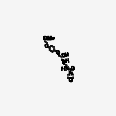 COCCOc1ccc(OCC(O)CNCCNC(=O)N2CCOCC2)cc1